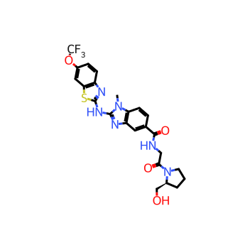 Cn1c(Nc2nc3ccc(OC(F)(F)F)cc3s2)nc2cc(C(=O)NCC(=O)N3CCC[C@H]3CO)ccc21